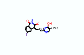 COc1cnc(C[AsH]C=C2C(=O)NC(=O)c3ccc(I)cc32)nc1O